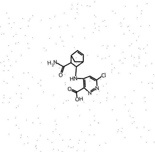 NC(=O)C1C2C=CC(C2)C1Nc1cc(Cl)nnc1C(=O)O